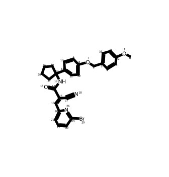 COc1ccc(COc2ccc(C3(NC(=O)C(C#N)=Cc4cccc(Br)n4)CCCC3)cc2)cc1